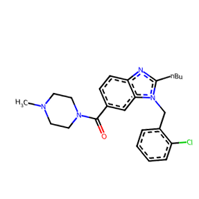 CCCCc1nc2ccc(C(=O)N3CCN(C)CC3)cc2n1Cc1ccccc1Cl